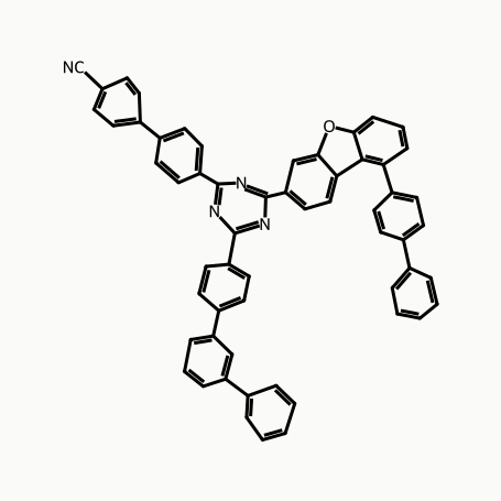 N#Cc1ccc(-c2ccc(-c3nc(-c4ccc(-c5cccc(-c6ccccc6)c5)cc4)nc(-c4ccc5c(c4)oc4cccc(-c6ccc(-c7ccccc7)cc6)c45)n3)cc2)cc1